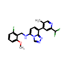 COc1cccc(F)c1CNc1ccc(-c2cc(C(F)F)ncc2C)c2nncn12